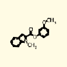 COc1cccc(OC(=O)c2cc3ccccc3n2C)c1